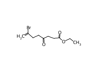 C=C(Br)CCC(=O)CCC(=O)OCC